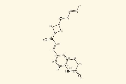 CC=CCOC1CN(C(=O)C=Cc2cnc3c(c2)CCC(=O)N3)C1